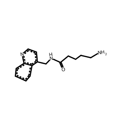 NCCCCC(=O)NCc1ccnc2ccccc12